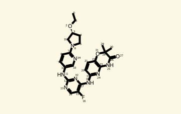 CCO[C@@H]1CCN(c2ccc(Nc3ncc(F)c(Nc4ccc5c(n4)NC(=O)C(C)(C)O5)n3)cn2)C1